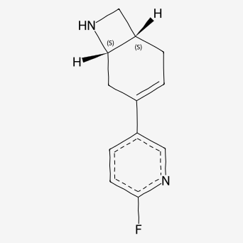 Fc1ccc(C2=CC[C@H]3CN[C@H]3C2)cn1